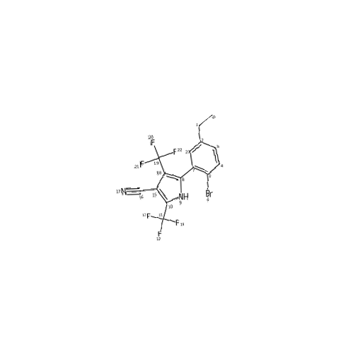 CCc1ccc(Br)c(-c2[nH]c(C(F)(F)F)c(C#N)c2C(F)(F)F)c1